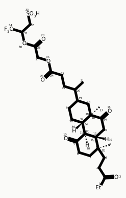 CCC(=O)CC[C@@]1(C)CCC(=O)[C@@H]2[C@@H]1CC(=O)[C@]1(C)CC(C(C)CCC(=O)OCC(=O)OC(CS(=O)(=O)O)C(F)(F)F)CC[C@@H]21